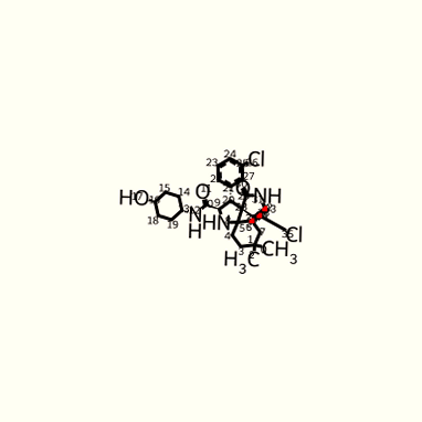 CC1(C)CCC2(CC1)N[C@@H](C(=O)N[C@H]1CC[C@H](O)CC1)[C@H](c1cccc(Cl)c1)[C@]21C(=O)Nc2cc(Cl)ccc21